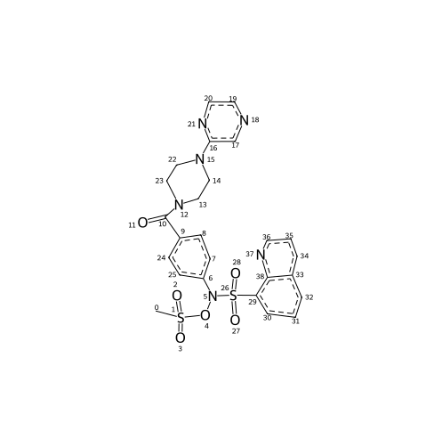 CS(=O)(=O)ON(c1ccc(C(=O)N2CCN(c3cnccn3)CC2)cc1)S(=O)(=O)c1cccc2cccnc12